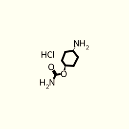 Cl.NC(=O)O[C@H]1CC[C@H](N)CC1